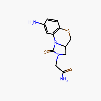 NC(=S)CN1CC2CSc3ccc(N)cc3N2C1=S